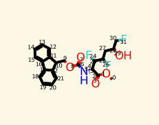 COC(=O)[C@H](NC(=O)OCC1c2ccccc2-c2ccccc21)C(F)C(F)CC(O)CF